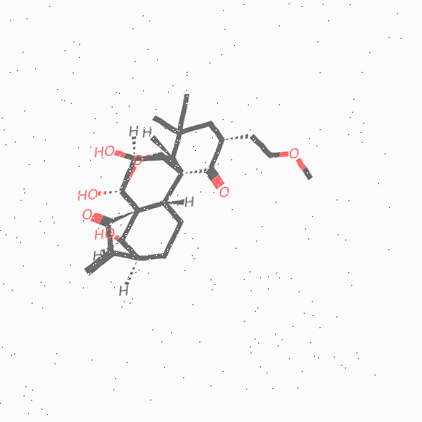 C=C1C(=O)[C@]23[C@H](O)[C@H]1CC[C@H]2[C@@]12CO[C@@]3(O)[C@@H](O)[C@@H]1C(C)(C)C[C@H](CCOC)C2=O